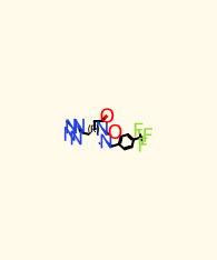 CN(Cc1ccc(C(F)(F)F)cc1)C(=O)N1C(=O)C[C@H]1Cc1nnn(C)n1